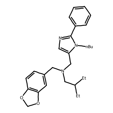 CCCCn1c(CN(Cc2ccc3c(c2)OCO3)CC(CC)CC)cnc1-c1ccccc1